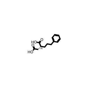 O=C(O)C[C@@H](CCCc1ccccc1)C(=O)O